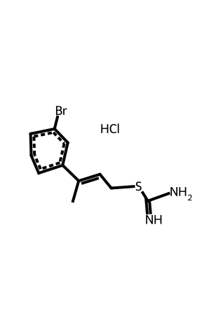 CC(=CCSC(=N)N)c1cccc(Br)c1.Cl